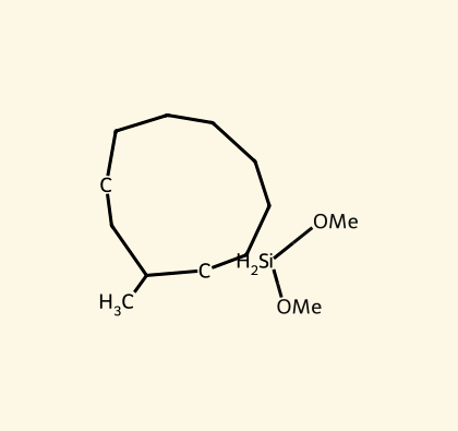 CC1CCCCCCCCC1.CO[SiH2]OC